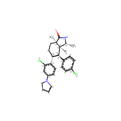 C[C@H]1NC(=O)[C@]2(C)CC[C@@H](c3ccc(N4CCCC4)cc3Cl)[C@H](c3ccc(Cl)cc3)[C@H]12